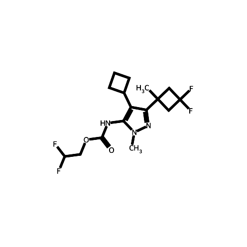 Cn1nc(C2(C)CC(F)(F)C2)c(C2CCC2)c1NC(=O)OCC(F)F